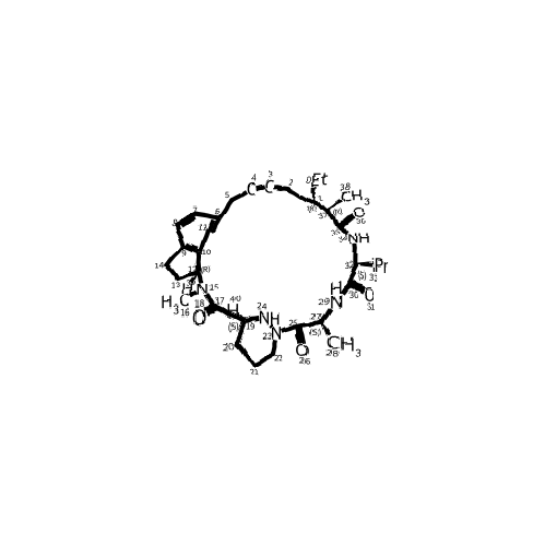 CC[C@@H]1CCCCc2ccc3c(c2)[C@@H](CC3)N(C)C(=O)[C@@H]2CCCN(N2)C(=O)[C@H](C)NC(=O)[C@H](C(C)C)NC(=O)[C@@H]1C